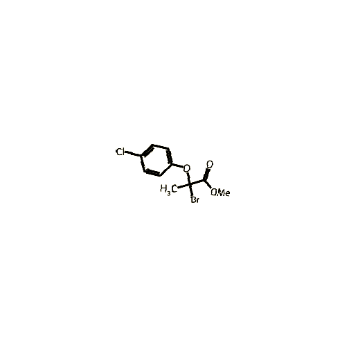 COC(=O)C(C)(Br)Oc1ccc(Cl)cc1